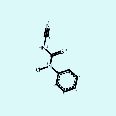 N#CNC(=S)N(Cl)c1ccccc1